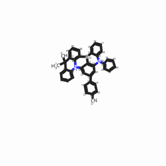 CC1(C)c2ccccc2N2c3cc(-c4ccc(C#N)cc4)cc4c3B(c3ccccc3N4c3ccccc3)c3cccc1c32